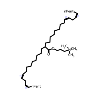 CCCCC/C=C\C/C=C\CCCCCCCCC(CCCCCCCC/C=C\C/C=C\CCCCC)C(=O)OCCC[N+](C)(C)C